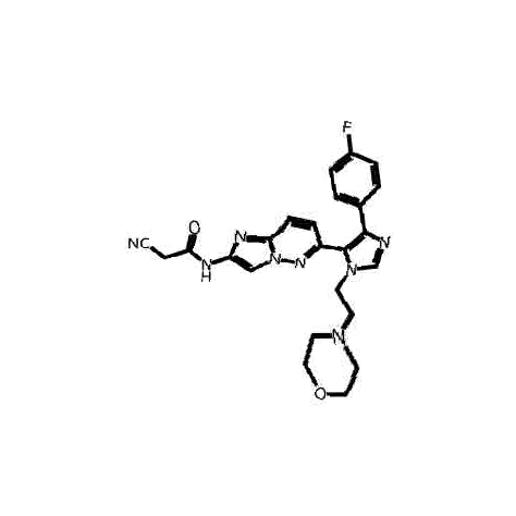 N#CCC(=O)Nc1cn2nc(-c3c(-c4ccc(F)cc4)ncn3CCN3CCOCC3)ccc2n1